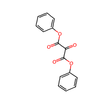 O=C(Oc1ccccc1)C(=O)C(=O)Oc1ccccc1